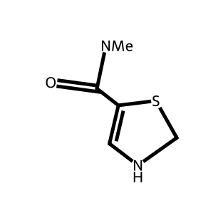 CNC(=O)C1=CNCS1